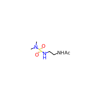 CC(=O)NCCNS(=O)(=O)N(C)C